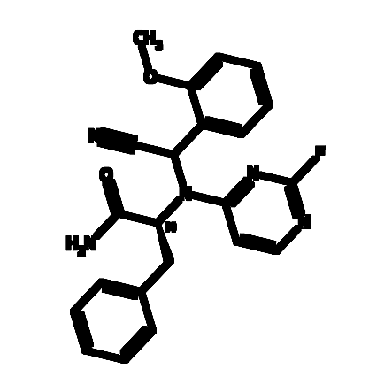 COc1ccccc1C(C#N)N(c1ccnc(F)n1)[C@@H](Cc1ccccc1)C(N)=O